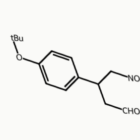 CC(C)(C)Oc1ccc(C(CC=O)C[N+](=O)[O-])cc1